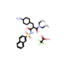 CCN(CC)C(=O)C(CC1CCC(N)CC1)C(=O)NS(=O)(=O)c1ccc2ccccc2c1.O=C(O)C(F)(F)F